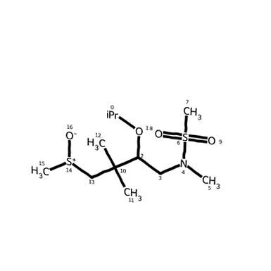 CC(C)OC(CN(C)S(C)(=O)=O)C(C)(C)C[S+](C)[O-]